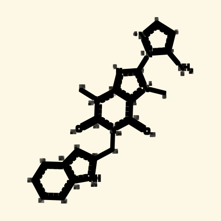 Cn1c(-n2nccc2N)nc2c1c(=O)n(Cc1cc3ccccc3[nH]1)c(=O)n2C